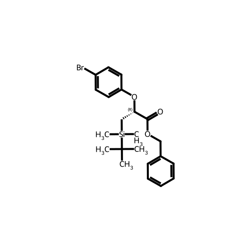 CC(C)(C)[Si](C)(C)C[C@H](Oc1ccc(Br)cc1)C(=O)OCc1ccccc1